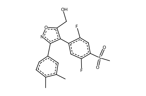 Cc1ccc(-c2noc(CO)c2-c2cc(F)c(S(C)(=O)=O)cc2F)cc1C